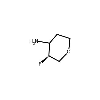 NC1CCOC[C@H]1F